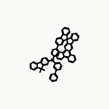 CC1(C)c2ccccc2-c2ccc(N(c3ccc(-c4ccc5c(c4)C4(c6ccccc6-5)c5ccccc5-c5cc6c7ccccc7c7ccccc7c6cc54)cc3)c3cccc(-c4ccccc4)c3)cc21